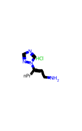 CCCC(=CCN)n1cncn1.Cl